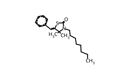 CCCCCCCCN1C(=O)S/C(=C\c2ccccc2)C1(C)C